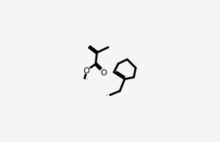 [CH2]CC1=CCCCC1.[CH2]OC(=O)C(=C)C